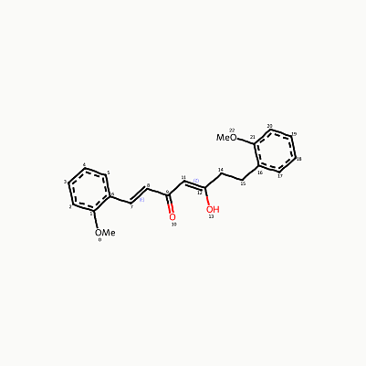 COc1ccccc1/C=C/C(=O)/C=C(\O)CCc1ccccc1OC